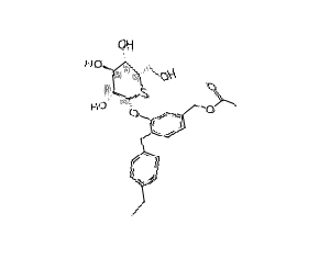 CCc1ccc(Cc2ccc(COC(C)=O)cc2O[C@H]2S[C@@H](CO)[C@@H](O)[C@H](O)[C@H]2O)cc1